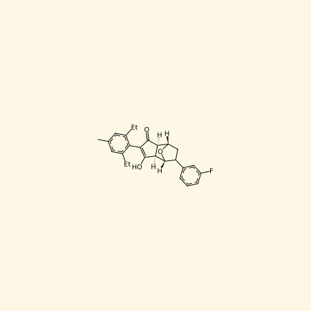 CCc1cc(C)cc(CC)c1C1=C(O)[C@H]2[C@@H](C1=O)[C@@H]1CC(c3cccc(F)c3)[C@H]2O1